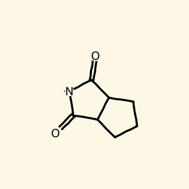 O=C1[N]C(=O)C2CCCC12